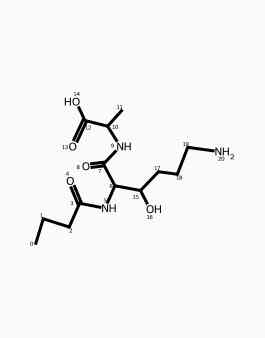 CCCC(=O)NC(C(=O)NC(C)C(=O)O)C(O)CCCN